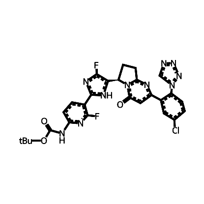 CC(C)(C)OC(=O)Nc1ccc(-c2nc(F)c([C@H]3CCc4nc(-c5cc(Cl)ccc5-n5cnnn5)cc(=O)n43)[nH]2)c(F)n1